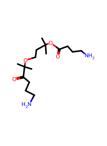 CC(C)(CCOC(C)(C)C(=O)CCCN)OC(=O)CCCN